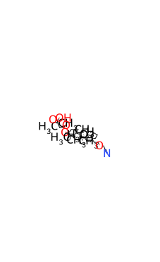 CC(C)(CC(=O)O[C@H]1CC[C@@]2(C)C(CC[C@]3(C)C2CC[C@@H]2[C@H]4CCC[C@]4(CCOCC#N)CC[C@]23C)C1(C)C)C(=O)O